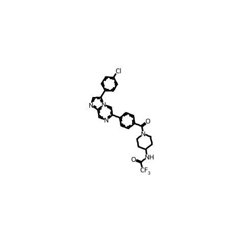 O=C(c1ccc(-c2cn3c(-c4ccc(Cl)cc4)cnc3cn2)cc1)N1CCC(NC(=O)C(F)(F)F)CC1